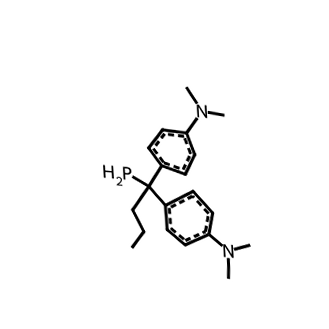 CCCC(P)(c1ccc(N(C)C)cc1)c1ccc(N(C)C)cc1